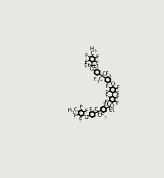 CCC(CC)(Oc1c(F)c(F)c(-c2c(F)c(F)c(Oc3ccc(C(c4ccc(OC(CC)(CC)c5c(F)c(F)c(C)c(F)c5F)cc4)(C(F)(F)F)C(F)(F)F)cc3)c(F)c2F)c(F)c1F)c1ccc(C(c2ccc(Oc3c(F)c(F)c(C)c(F)c3F)cc2)(C(F)(F)F)C(F)(F)F)cc1